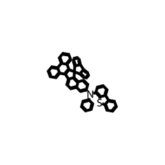 c1ccc(N(c2ccc3c4c(ccc3c2)-c2c(c3ccccc3c3ccccc23)C42c3ccccc3-c3ccccc32)c2cccc3c2sc2ccccc23)cc1